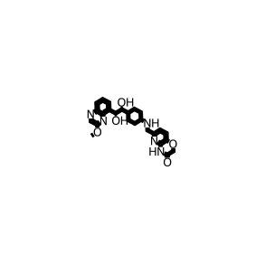 COc1cnc2cccc([C@H](O)[C@@H](O)C3CCC(NCc4ccc5c(n4)NC(=O)CO5)CC3)c2n1